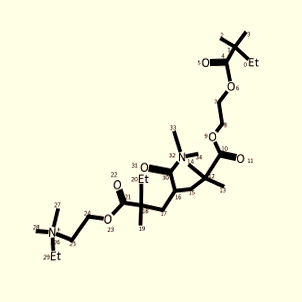 CCC(C)(C)C(=O)OCCOC(=O)C(C)(C)CC(CC(C)(CC)C(=O)OCC[N+](C)(C)CC)C(=O)N(C)C